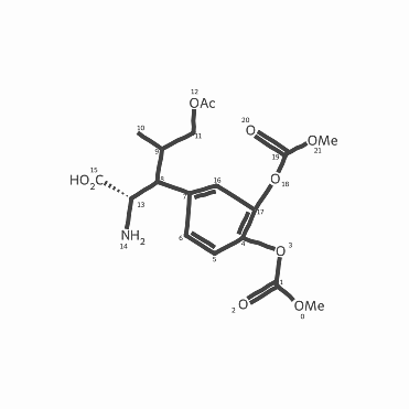 COC(=O)Oc1ccc(C(C(C)COC(C)=O)[C@H](N)C(=O)O)cc1OC(=O)OC